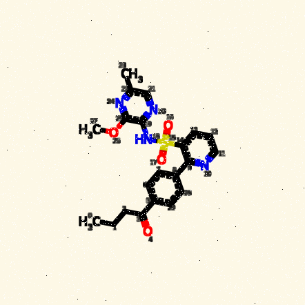 CCCC(=O)c1ccc(-c2ncccc2S(=O)(=O)Nc2ncc(C)nc2OC)cc1